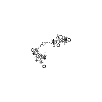 CC[C@H](NC)C(=O)N[C@@H]1C(=O)N2[C@@H](CC[C@@H]1CNCc1ccccc1)CC[C@H]2C(=O)N[C@H](C(=O)NCCCCC1CCC(CCCCNC(=O)[C@@H](NC(=O)[C@@H]2CC[C@@H]3CC[C@H](CNCc4ccccc4)[C@H](NC(=O)[C@H](CC)NC)C(=O)N32)c2ccccc2)CC1)c1ccccc1